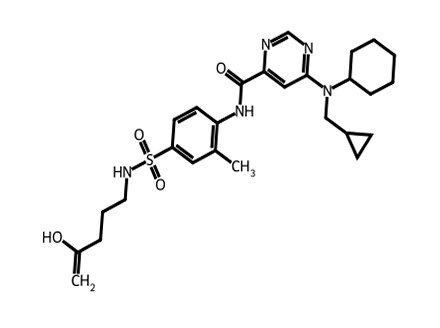 C=C(O)CCCNS(=O)(=O)c1ccc(NC(=O)c2cc(N(CC3CC3)C3CCCCC3)ncn2)c(C)c1